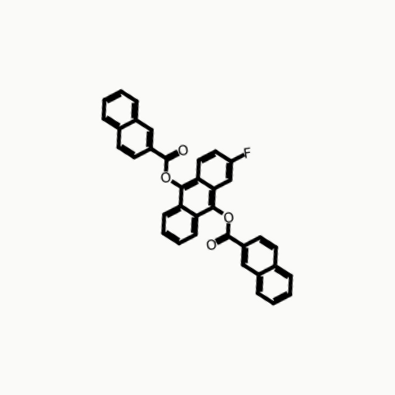 O=C(Oc1c2ccccc2c(OC(=O)c2ccc3ccccc3c2)c2cc(F)ccc12)c1ccc2ccccc2c1